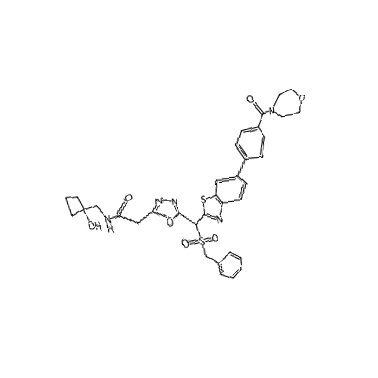 O=C(Cc1nnc(C(c2nc3ccc(-c4ccc(C(=O)N5CCOCC5)cc4)cc3s2)S(=O)(=O)Cc2ccccc2)o1)NCC1(O)CCC1